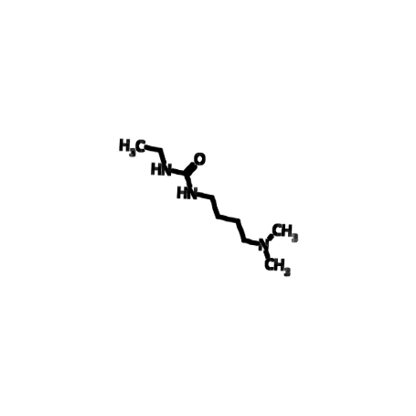 CCNC(=O)NCCCCN(C)C